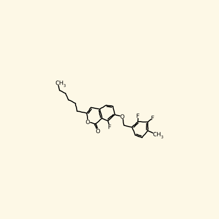 CCCCCCc1cc2ccc(OCc3ccc(C)c(F)c3F)c(F)c2c(=O)o1